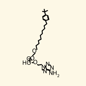 CC(C)(C)c1ccc(CCCCCCCCCCCOCCOP(=O)(O)COCCn2cnc3c(N)ncnc32)cc1